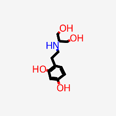 OCC(CO)NCCc1ccc(O)cc1O